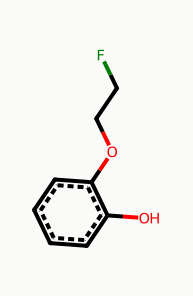 Oc1ccccc1OCCF